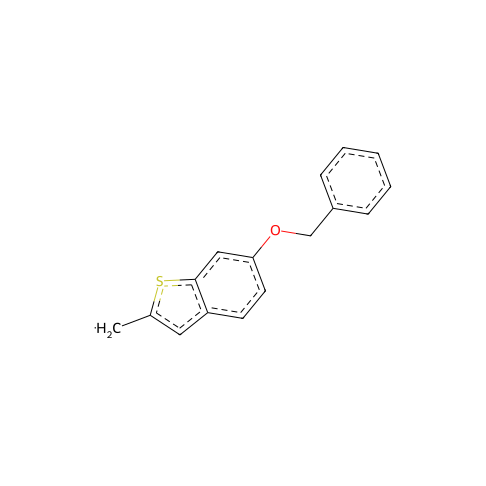 [CH2]c1cc2ccc(OCc3ccccc3)cc2s1